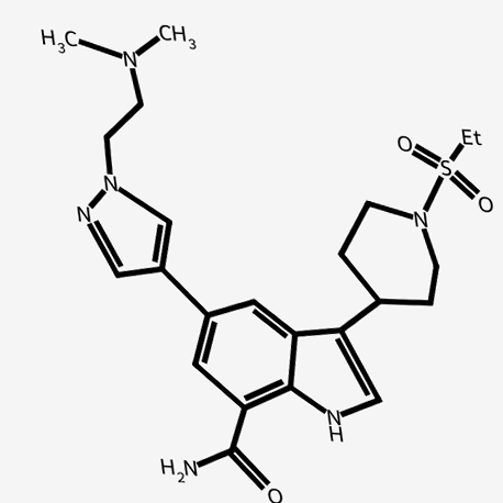 CCS(=O)(=O)N1CCC(c2c[nH]c3c(C(N)=O)cc(-c4cnn(CCN(C)C)c4)cc23)CC1